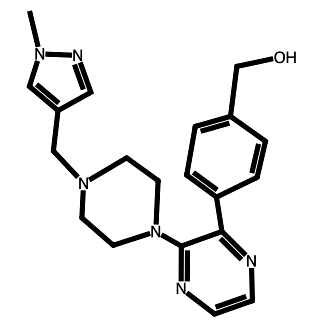 Cn1cc(CN2CCN(c3nccnc3-c3ccc(CO)cc3)CC2)cn1